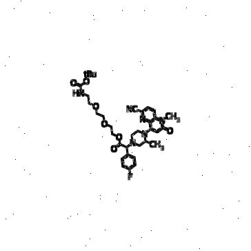 CC1CN(C(C(=O)OCCOCCOCCNC(=O)OC(C)(C)C)c2ccc(F)cc2)CCN1c1cc(=O)n(C)c2ccc(C#N)nc12